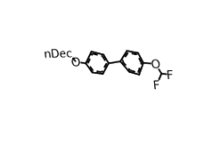 CCCCCCCCCCOc1ccc(-c2ccc(OC(F)F)cc2)cc1